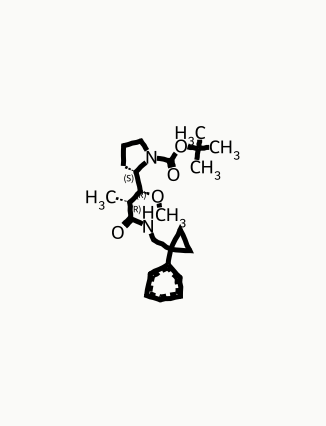 CO[C@H]([C@@H](C)C(=O)NCC1(c2ccccc2)CC1)[C@@H]1CCCN1C(=O)OC(C)(C)C